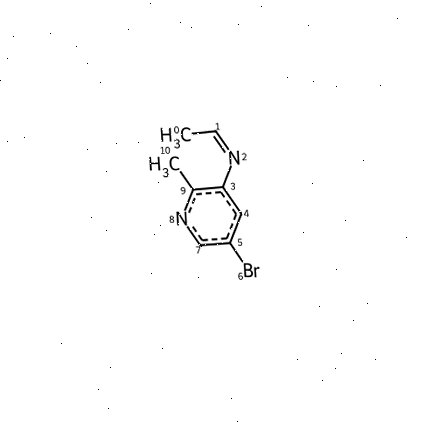 C/C=N\c1cc(Br)cnc1C